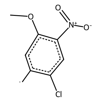 [CH2]c1cc(OC)c([N+](=O)[O-])cc1Cl